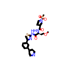 COCC[C@H](NC(=O)c1ccn(S(C)(=O)=O)c1)C(=O)Nc1nc(-c2cccc(-c3ccncc3)c2)cs1